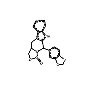 O=S1OCC2Cc3c([nH]c4ccccc34)C(c3ccc4c(c3)OCO4)N21